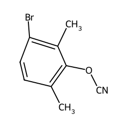 Cc1ccc(Br)c(C)c1OC#N